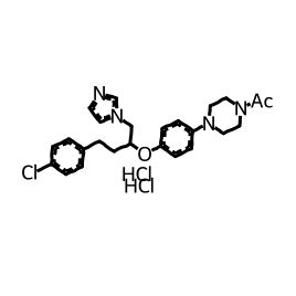 CC(=O)N1CCN(c2ccc(OC(CCc3ccc(Cl)cc3)Cn3ccnc3)cc2)CC1.Cl.Cl